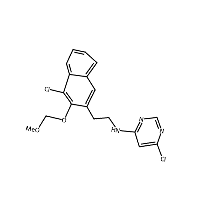 COCOc1c(CCNc2cc(Cl)ncn2)cc2ccccc2c1Cl